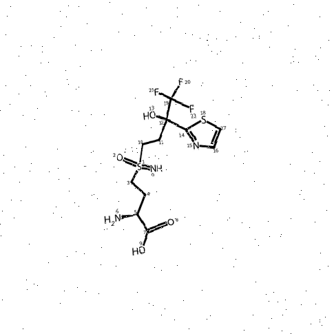 N=S(=O)(CC[C@H](N)C(=O)O)CCC(O)(c1nccs1)C(F)(F)F